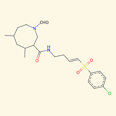 CC1CCN(C=O)CC(C(=O)NCC/C=C/S(=O)(=O)c2ccc(Cl)cc2)C(C)C1